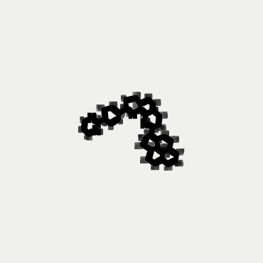 c1cnc(-c2ccc(-c3ccc4ccc5ccc(-c6ccc7ccc8cccc9ccc6c7c89)nc5c4n3)cc2)nc1